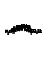 CCOC(=O)C(C)(C)Oc1ccc(C(Cc2nc(-c3ccc(C(F)(F)F)cc3)no2)NC)cc1C